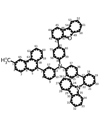 Cc1ccc2cc(-c3cccc(N(c4ccc(-c5ccccc5-n5c6ccccc6c6ccccc65)cc4)c4ccc(-c5cccc6c5oc5ccccc56)cc4)c3)c3ccccc3c2c1